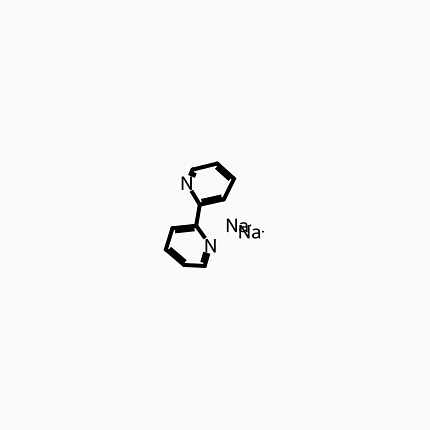 [Na].[Na].c1ccc(-c2ccccn2)nc1